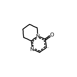 O=c1[c]cnc2n1CCCC2